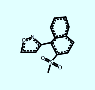 CS(=O)(=O)c1ccc2ccccc2c1-c1ccon1